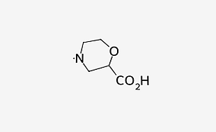 O=C(O)C1C[N]CCO1